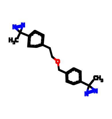 CC1(c2ccc(CCOCc3ccc(C4(C)N=N4)cc3)cc2)N=N1